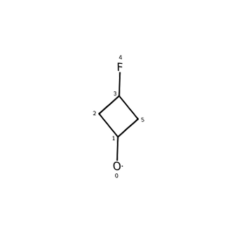 [O]C1CC(F)C1